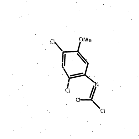 COc1cc(N=C(Cl)Cl)c(Cl)cc1Cl